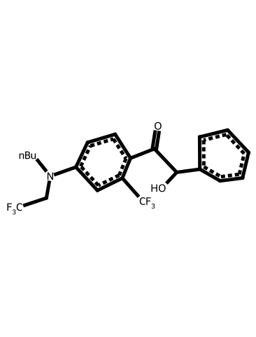 CCCCN(CC(F)(F)F)c1ccc(C(=O)C(O)c2ccccc2)c(C(F)(F)F)c1